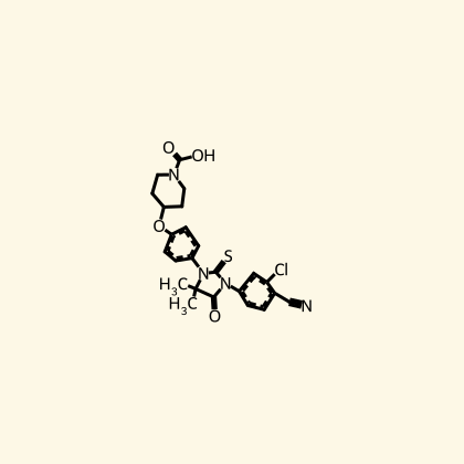 CC1(C)C(=O)N(c2ccc(C#N)c(Cl)c2)C(=S)N1c1ccc(OC2CCN(C(=O)O)CC2)cc1